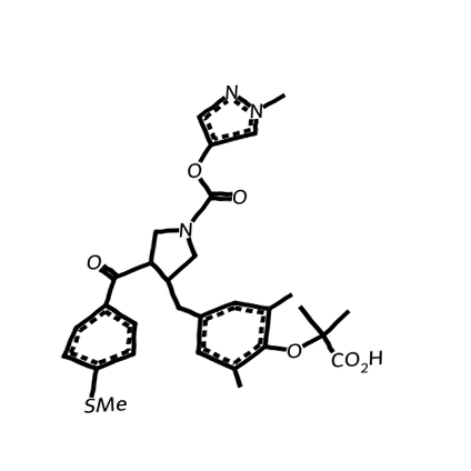 CSc1ccc(C(=O)C2CN(C(=O)Oc3cnn(C)c3)CC2Cc2cc(C)c(OC(C)(C)C(=O)O)c(C)c2)cc1